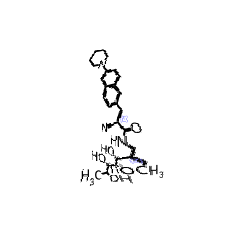 C/C=C(/CNC(=O)/C(C#N)=C/c1ccc2cc(N3CCCCC3)ccc2c1)[C@@H](O)[C@H](O)[C@@H](O)C(C)O